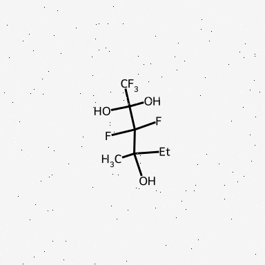 CCC(C)(O)C(F)(F)C(O)(O)C(F)(F)F